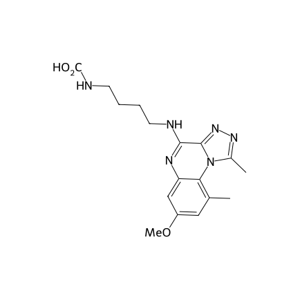 COc1cc(C)c2c(c1)nc(NCCCCNC(=O)O)c1nnc(C)n12